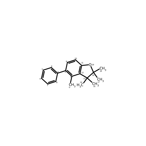 Cc1c(-c2ccccc2)ccc2c1C(C)(C)C(C)(C)O2